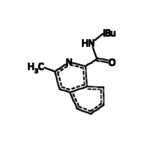 CCC(C)NC(=O)c1nc(C)cc2ccccc12